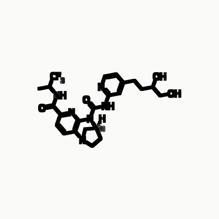 CC(NC(=O)c1ccc2c(n1)N(C(=O)Nc1cc(CCC(O)CO)ccn1)[C@H]1CCN2C1)C(F)(F)F